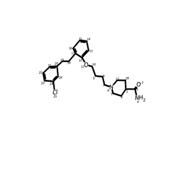 NC(=O)C1CCN(CCCCOc2ccccc2CCc2cccc(Cl)c2)CC1